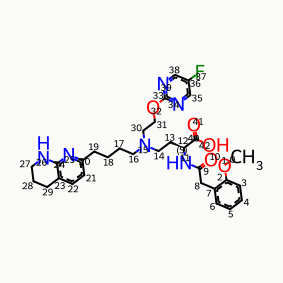 COc1ccccc1CC(=O)N[C@@H](CCN(CCCCc1ccc2c(n1)NCCC2)CCOc1ncc(F)cn1)C(=O)O